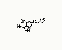 N#Cc1cnn2cc(OCC3CSC3)cc(Br)c12